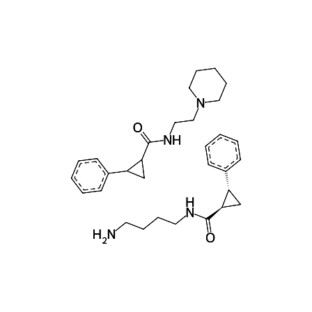 NCCCCNC(=O)[C@@H]1C[C@H]1c1ccccc1.O=C(NCCN1CCCCC1)C1CC1c1ccccc1